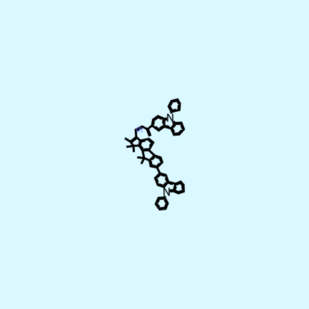 C=C(/C=C\C1=C(C)C(C)(C)c2c1ccc1c2C(C)(C)c2cc(-c3ccc4c(c3)c3ccccc3n4-c3ccccc3)ccc2-1)c1ccc2c(c1)c1ccccc1n2-c1ccccc1